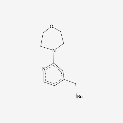 CC(C)(C)Cc1ccnc(N2CCOCC2)c1